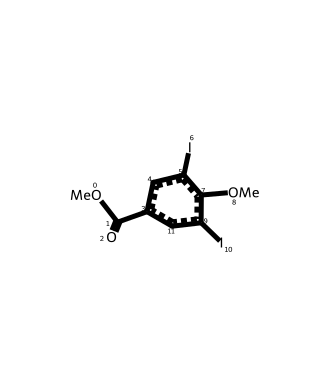 COC(=O)c1cc(I)c(OC)c(I)c1